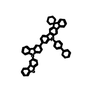 C1=CCCC(c2ccc(-n3c4cc(-c5ccc6c(c5)c5ccccc5n6-c5ccc6sc7ccccc7c6c5)ccc4c4cc5c(cc43)-c3ccccc3C53CCCCC3)cc2)=C1